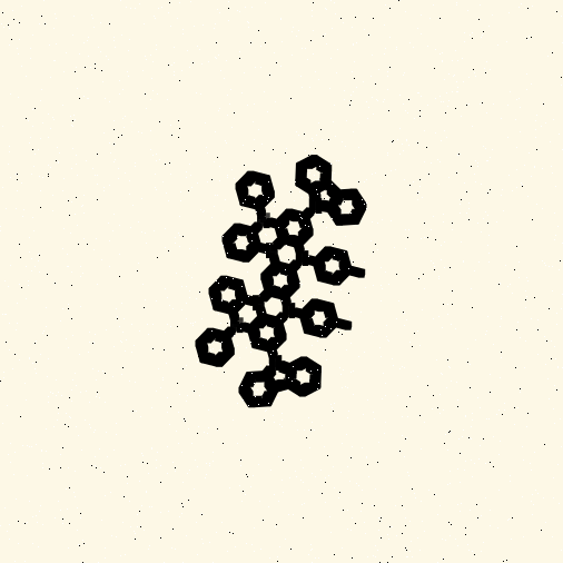 Cc1ccc(N2c3cc4c(cc3B3c5ccccc5N(c5ccccc5)c5cc(-n6c7ccccc7c7ccccc76)cc2c53)B2c3ccccc3N(c3ccccc3)c3cc(-n5c6ccccc6c6ccccc65)cc(c32)N4c2ccc(C)cc2)cc1